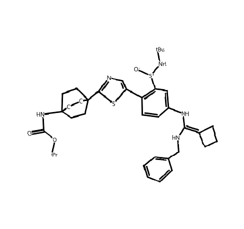 CC(C)OC(=O)NC12CCC(c3ncc(-c4ccc(NC(NCc5ccccc5)=C5CCC5)cc4[S+]([O-])NC(C)(C)C)s3)(CC1)CC2